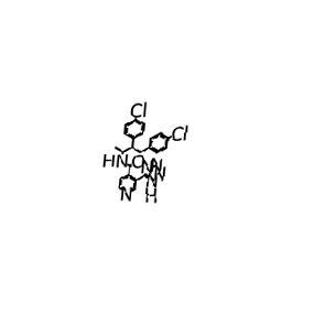 CC(NC(=O)c1ccncc1-c1nnn[nH]1)C(Cc1ccc(Cl)cc1)c1ccc(Cl)cc1